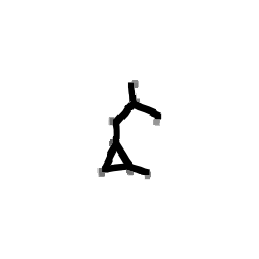 CC(C)CC1CC1C